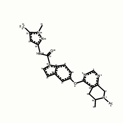 CC(=O)N1Cc2ncnc(Oc3ccc4c(ccn4C(=O)Nc4cc(C(F)(F)F)n(C)n4)c3)c2CC1C